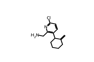 C=C1CCCCC1c1ccc(Cl)nc1CN